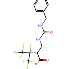 O=C(NCc1ccccc1)NCC(C(=O)O)C(F)(C(F)(F)F)C(F)(F)F